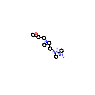 NC(NC(/N=C/C1=CC(C2CC=CC3C2C2=C(C=CCC2)N3c2cccc(-c3ccc4c5c(oc4c3)CCC=C5)c2)=CCC1)c1ccccc1)C1C=CC=CC1